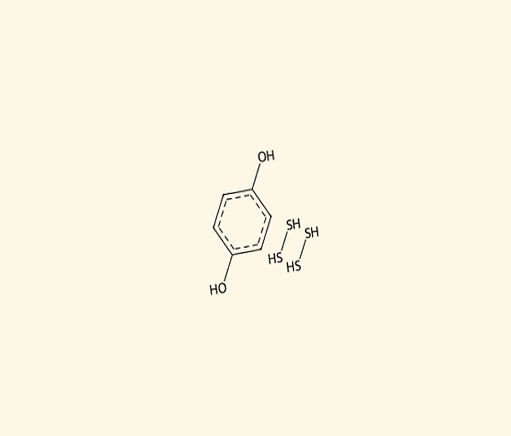 Oc1ccc(O)cc1.SS.SS